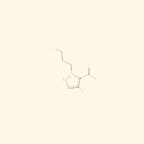 OCCCn1ncc(Br)c1C(F)F